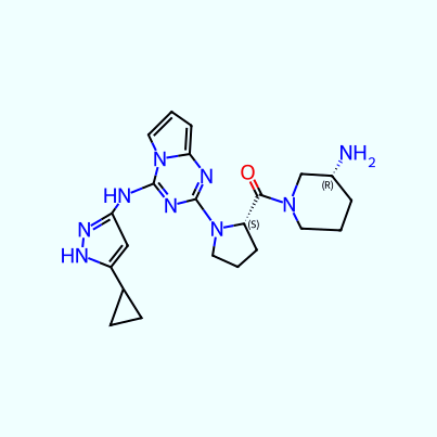 N[C@@H]1CCCN(C(=O)[C@@H]2CCCN2c2nc(Nc3cc(C4CC4)[nH]n3)n3cccc3n2)C1